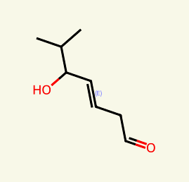 CC(C)C(O)/C=C/CC=O